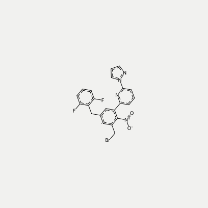 O=[N+]([O-])c1c(CBr)[c]c(Cc2c(F)cccc2F)cc1-c1cccc(-n2cccn2)n1